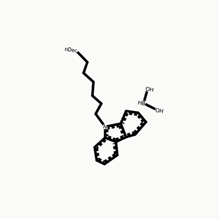 CCCCCCCCCCCCCCCCn1c2ccccc2c2ccccc21.OBO